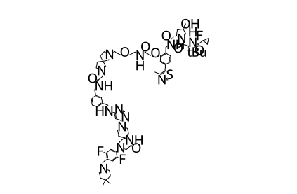 Cc1ncsc1-c1ccc(CNC(=O)[C@@H]2C[C@@H](O)CN2C(=O)[C@@H](NC(=O)C2(F)CC2)C(C)(C)C)c(OCC(=O)NCCOCCN2CC[C@@]3(CCN(CC(=O)NCc4cccc(CNc5cc(N6CCC7(CC6)CN(c6cc(F)c(CN8CCC(C)(C)CC8)cc6F)CC(=O)N7)ncn5)c4)C3)C2)c1